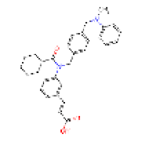 CN(Cc1ccc(CN(C(=O)C2CCCCC2)c2cccc(C=CC(=O)O)c2)cc1)c1ccccc1